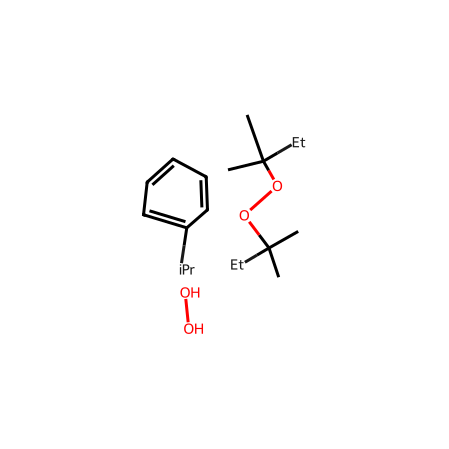 CC(C)c1ccccc1.CCC(C)(C)OOC(C)(C)CC.OO